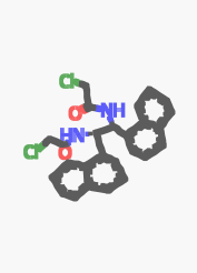 O=C(CCl)N[C@@H](c1cccc2ccccc12)[C@@H](NC(=O)CCl)c1cccc2ccccc12